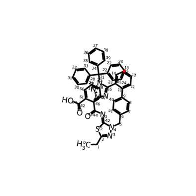 CCc1nn(Cc2ccc(-c3ccccc3-c3nnnn3C(c3ccccc3)(c3ccccc3)c3ccccc3)cc2)c(=NC(=O)c2ccccc2C(=O)O)s1